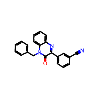 N#Cc1cccc(-c2nc3ccccc3n(Cc3ccccc3)c2=O)c1